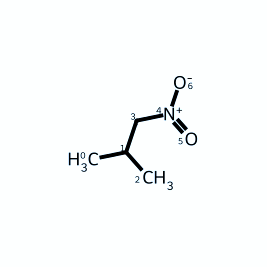 CC(C)[CH][N+](=O)[O-]